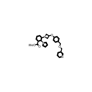 COC(=O)c1cccc(N2CC(Oc3ccc(COCc4cccnc4)cc3)C2)c1-n1cccc1